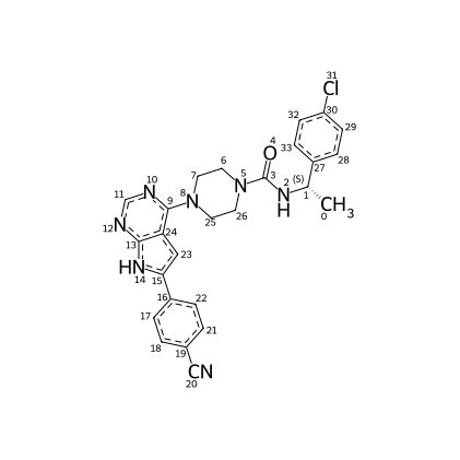 C[C@H](NC(=O)N1CCN(c2ncnc3[nH]c(-c4ccc(C#N)cc4)cc23)CC1)c1ccc(Cl)cc1